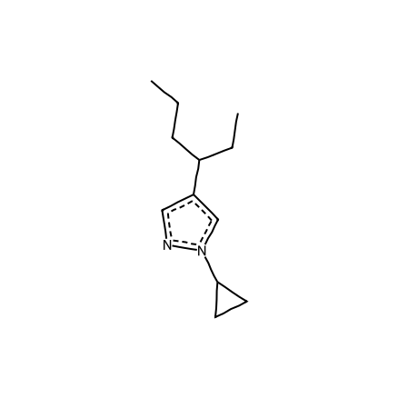 CCCC(CC)c1cnn(C2CC2)c1